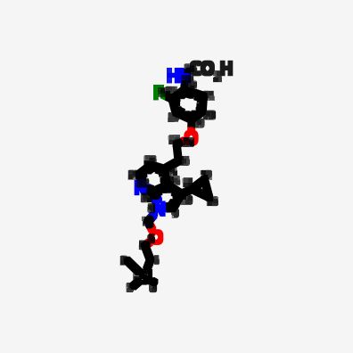 C[Si](C)(C)CCOCn1cc(C2CC2)c2c(CCOc3ccc(NC(=O)O)c(F)c3)ccnc21